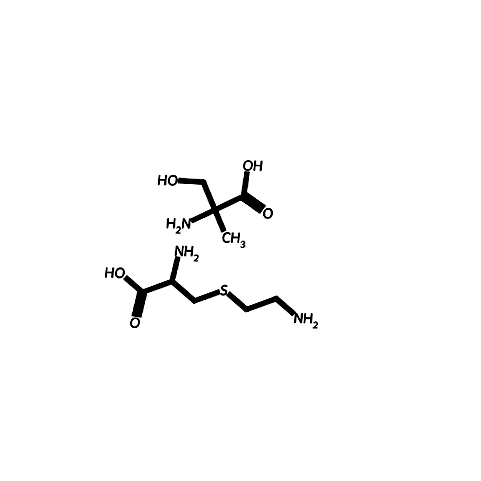 CC(N)(CO)C(=O)O.NCCSCC(N)C(=O)O